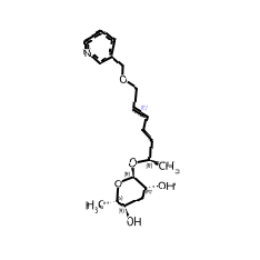 C[C@H](CC/C=C/COCc1cccnc1)O[C@@H]1O[C@@H](C)[C@H](O)C[C@H]1O